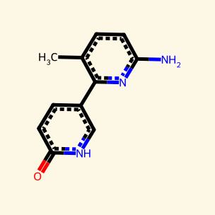 Cc1ccc(N)nc1-c1ccc(=O)[nH]c1